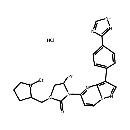 CCN1CCCC1CN1CC(C(C)C)N(c2ccn3ncc(-c4ccc(-c5nc[nH]n5)cc4)c3n2)C1=O.Cl